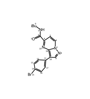 CCC(C)NC(=O)c1ccn2ncc(-c3ccc(Br)cc3)c2n1